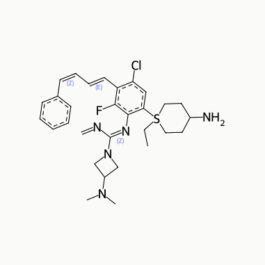 C=N/C(=N\c1c(S2(CC)CCC(N)CC2)cc(Cl)c(/C=C/C=C\c2ccccc2)c1F)N1CC(N(C)C)C1